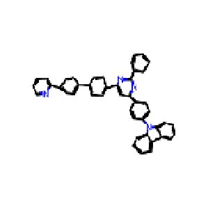 c1ccc(-c2nc(-c3ccc(-c4ccc(-c5ccccn5)cc4)cc3)cc(-c3ccc(-n4c5ccccc5c5ccccc54)cc3)n2)cc1